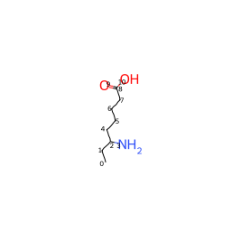 CCC(N)CCCCC(=O)O